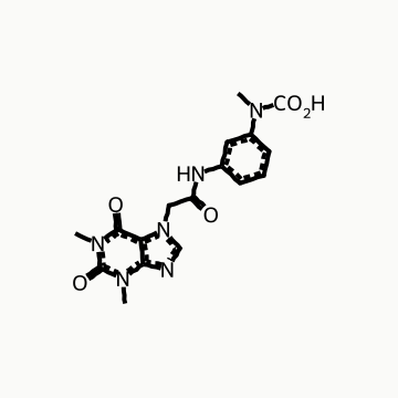 CN(C(=O)O)c1cccc(NC(=O)Cn2cnc3c2c(=O)n(C)c(=O)n3C)c1